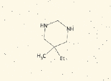 CCC1(C)CNCNC1